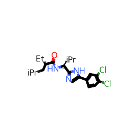 CCC(CC(C)C)C(=O)N[C@H](c1ncc(-c2ccc(Cl)c(Cl)c2)[nH]1)C(C)C